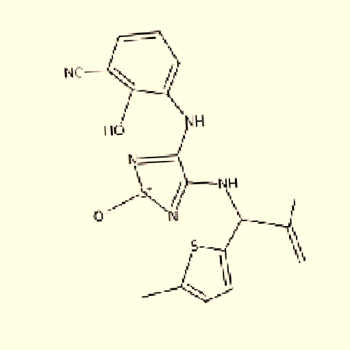 C=C(C)C(Nc1n[s+]([O-])nc1Nc1cccc(C#N)c1O)c1ccc(C)s1